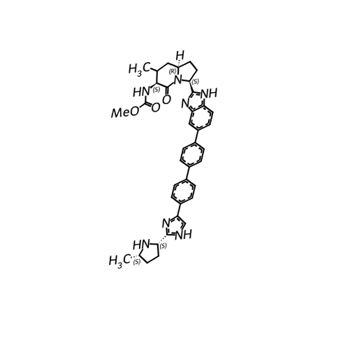 COC(=O)N[C@@H]1C(=O)N2[C@H](CC[C@H]2c2nc3cc(-c4ccc(-c5ccc(-c6c[nH]c([C@@H]7CC[C@H](C)N7)n6)cc5)cc4)ccc3[nH]2)CC1C